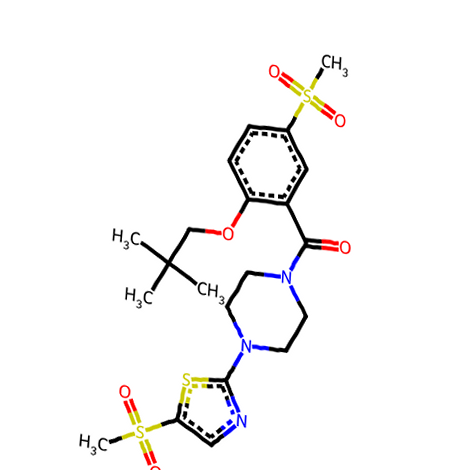 CC(C)(C)COc1ccc(S(C)(=O)=O)cc1C(=O)N1CCN(c2ncc(S(C)(=O)=O)s2)CC1